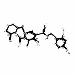 Cc1c2n(cc(C(=O)NCc3ccc(F)cc3F)c1=O)CC1CCCC(C)N1C2=O